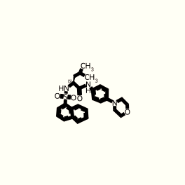 CC(C)C[C@H](NS(=O)(=O)c1cccc2ccccc12)C(=O)Nc1ccc(N2CCOCC2)cc1